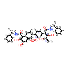 C=C(/C=C(C)\C(=C(/C)O)c1c(C)cc2c(C(=O)NC[C@H](C)c3ccccc3)c(O)c(O)cc2c1O)/C(C(=O)NC[C@@H](C)c1ccccc1)=C(O)\C(O)=C/C